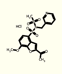 COc1ccc(S(=O)(=O)N(Cc2cccnc2)S(C)(=O)=O)c2cc(C(C)=O)oc12.Cl